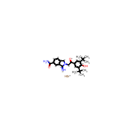 Br.CC(C)(C)c1cc(C(=O)CN2Cc3ccc(C(N)=O)cc3C2=N)cc(C(C)(C)C)c1O